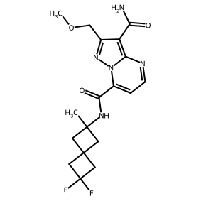 COCc1nn2c(C(=O)NC3(C)CC4(CC(F)(F)C4)C3)ccnc2c1C(N)=O